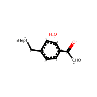 CCCCCCCCc1ccc(C(=O)C=O)cc1.O